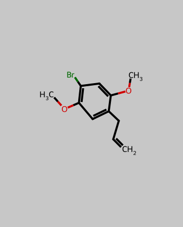 C=CCc1cc(OC)c(Br)cc1OC